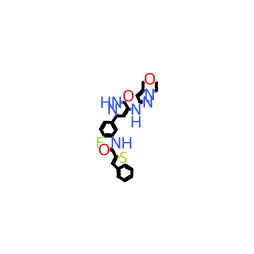 O=C(Nc1cc(-c2cc(Nc3cc4n(n3)CCOC4)c(=O)[nH]n2)ccc1F)c1cc2ccccc2s1